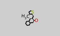 Cc1ccsc1C=C1C=c2ccccc2=CC1=O